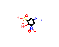 Nc1cc([N+](=O)[O-])c(O)c(S(=O)(=O)O)c1